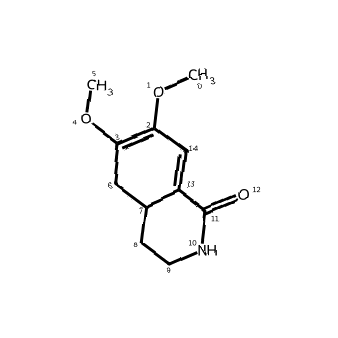 COC1=C(OC)CC2CCNC(=O)C2=C1